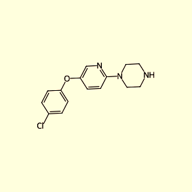 Clc1ccc(Oc2ccc(N3CCNCC3)nc2)cc1